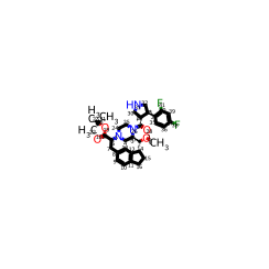 COC[C@H]1CN(C(Cc2ccc3c(c2)CCC3)C(=O)OC(C)(C)C)CCN1C(=O)[C@@H]1CNC[C@H]1c1ccc(F)cc1F